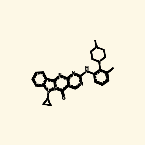 Cc1cccc(Nc2ncc3c(=O)n4c(nc3n2)c2ccccc2n4C2CC2)c1N1CCN(C)CC1